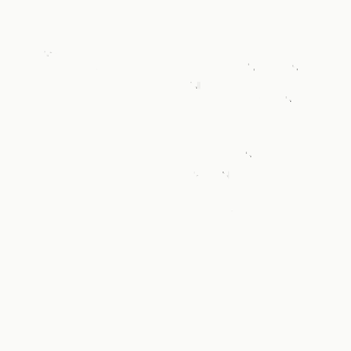 COc1ccc(Nc2cc(=O)n(-c3ccc(Cl)cc3)nc2-c2nc[nH]n2)cc1